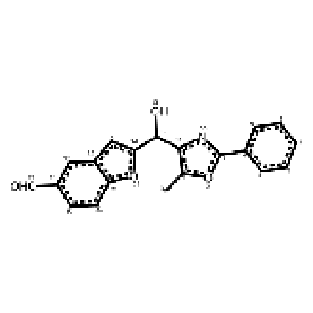 Cc1oc(-c2ccccc2)nc1C(O)c1cc2cc(C=O)ccc2o1